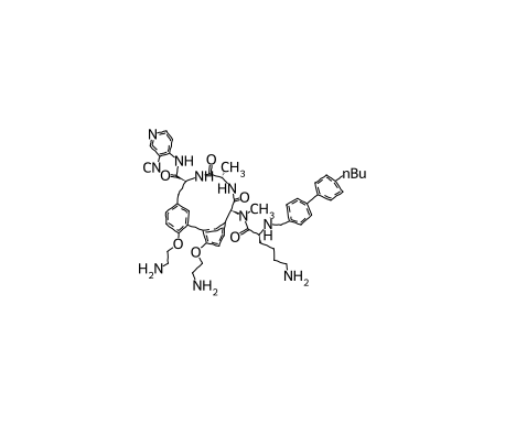 CCCCc1ccc(-c2ccc(CN[C@@H](CCCCN)C(=O)N(C)[C@@H]3C(=O)N[C@@H](C)C(=O)N[C@H](C(=O)Nc4ccncc4C#N)Cc4ccc(OCCN)c(c4)-c4cc3ccc4OCCN)cc2)cc1